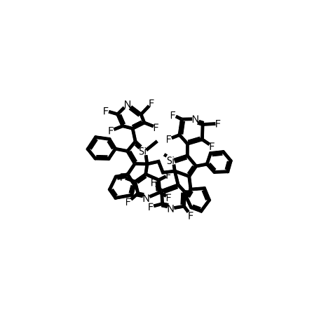 C[Si]1=C(c2c(F)c(F)nc(F)c2F)C(c2ccccc2)=C(c2ccccc2)C1(CCC1(c2c(F)c(F)nc(F)c2F)C(c2ccccc2)=C(c2ccccc2)C(c2c(F)c(F)nc(F)c2F)=[Si]1C)c1c(F)c(F)nc(F)c1F